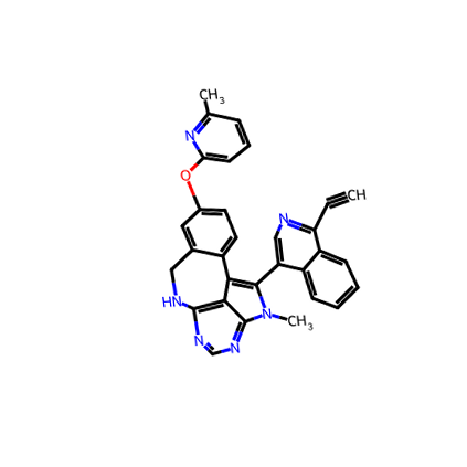 C#Cc1ncc(-c2c3c4c(ncnc4n2C)NCc2cc(Oc4cccc(C)n4)ccc2-3)c2ccccc12